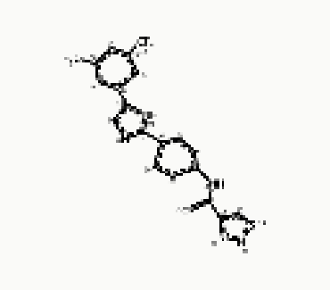 O=C(Nc1ccc(-c2ncc(-c3cc(C(F)(F)F)cc(C(F)(F)F)c3)[nH]2)cc1)c1csnn1